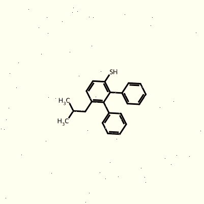 CC(C)Cc1ccc(S)c(-c2ccccc2)c1-c1ccccc1